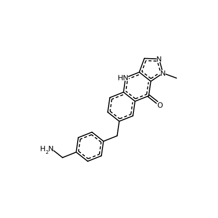 Cn1ncc2[nH]c3ccc(Cc4ccc(CN)cc4)cc3c(=O)c21